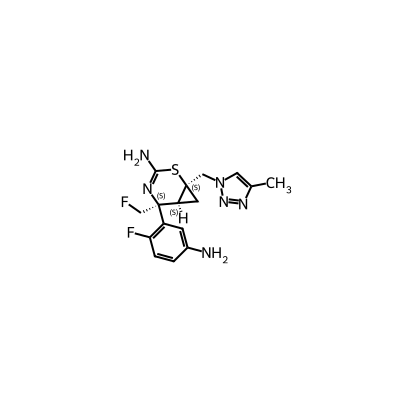 Cc1cn(C[C@]23C[C@H]2[C@@](CF)(c2cc(N)ccc2F)N=C(N)S3)nn1